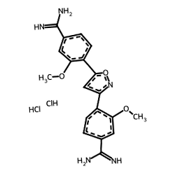 COc1cc(C(=N)N)ccc1-c1cc(-c2ccc(C(=N)N)cc2OC)on1.Cl.Cl